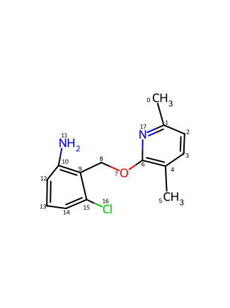 Cc1ccc(C)c(OCc2c(N)cccc2Cl)n1